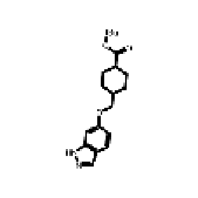 CC(C)(C)OC(=O)C1CCC(COc2ccc3cn[nH]c3c2)CC1